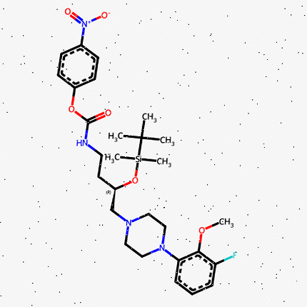 COc1c(F)cccc1N1CCN(C[C@@H](CCNC(=O)Oc2ccc([N+](=O)[O-])cc2)O[Si](C)(C)C(C)(C)C)CC1